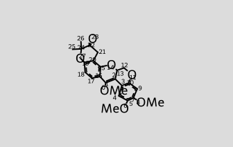 COC1=C2c3cc(OC)c(OC)cc3OCC2Oc2c1ccc1c2CC(=O)C(C)(C)O1